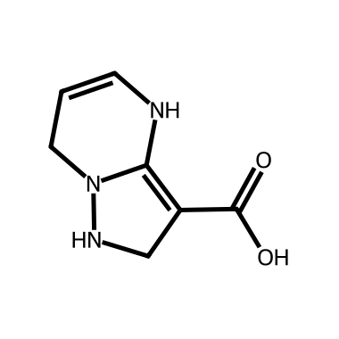 O=C(O)C1=C2NC=CCN2NC1